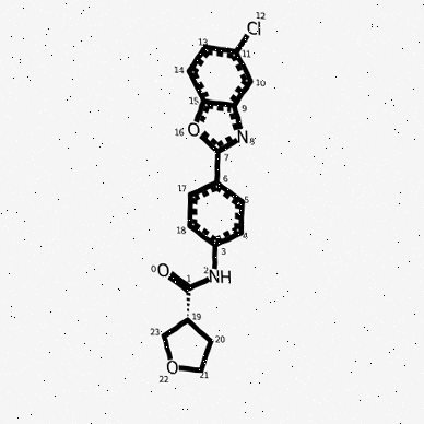 O=C(Nc1ccc(-c2nc3cc(Cl)ccc3o2)cc1)[C@@H]1CCOC1